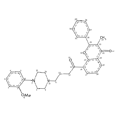 COc1ccccc1N1CCN(CCCC(=O)c2cccc3c(=O)c(C)c(-c4ccccc4)oc23)CC1